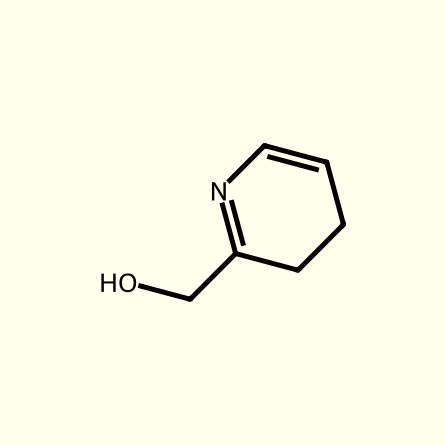 OCC1=NC=CCC1